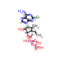 C=C[C@]1(COP(=O)(O)OP(=O)(O)O)[C@H](C)[C@@H](n2cnc3c(N)nc(Cl)nc32)[C@H](O)[C@@H]1O